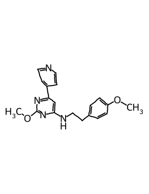 COc1ccc(CCNc2cc(-c3ccncc3)nc(OC)n2)cc1